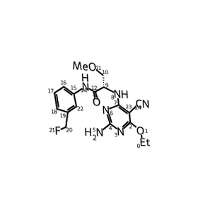 CCOc1nc(N)nc(N[C@@H](COC)C(=O)Nc2cccc(CF)c2)c1C#N